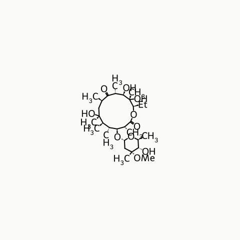 CC[C@H]1OC(=O)[C@H](C)[C@@H](O[C@H]2C[C@@](C)(OC)[C@@H](O)[C@H](C)O2)[C@H](C)[C@@H](C)[C@](C)(O)C[C@@H](C)C(=O)[C@H](C)[C@@H](O)[C@]1(C)O